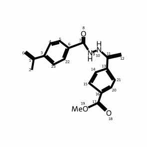 C=C(C)c1ccc(C(=O)NNC(=C)c2ccc(C(=O)OC)cc2)cc1